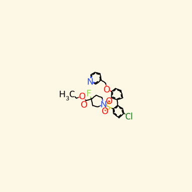 CCOC(=O)C1(F)CCN(S(=O)(=O)c2ccc(Cl)cc2-c2cccc(OCc3cccnc3)c2)CC1